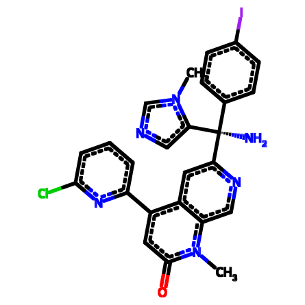 Cn1cncc1[C@@](N)(c1ccc(I)cc1)c1cc2c(-c3cccc(Cl)n3)cc(=O)n(C)c2cn1